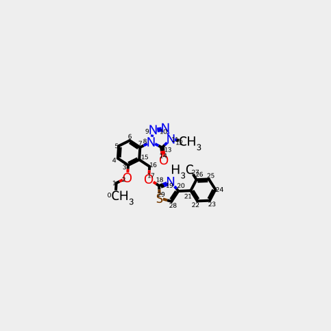 CCOc1cccc(-n2nnn(C)c2=O)c1COc1nc(-c2ccccc2C)cs1